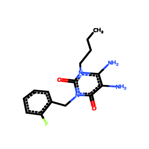 CCCCn1c(N)c(N)c(=O)n(Cc2ccccc2F)c1=O